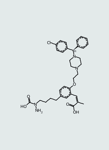 CC(=Cc1cc(CCCCN(N)C(=O)O)ccc1OCCN1CCN([C@H](c2ccccc2)c2ccc(Cl)cc2)CC1)C(=O)O